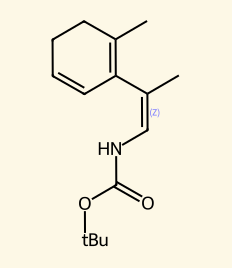 CC1=C(/C(C)=C\NC(=O)OC(C)(C)C)C=CCC1